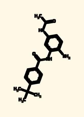 CC(=O)Nc1ccc(N)c(NC(=O)c2ccc(C(C)(C)C)cc2)c1